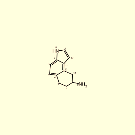 NC1CCc2ccc3[nH]ccc3c2C1